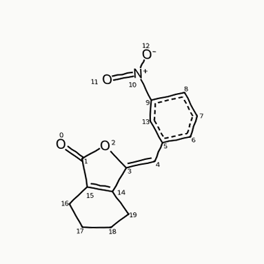 O=C1OC(=Cc2cccc([N+](=O)[O-])c2)C2=C1CCCC2